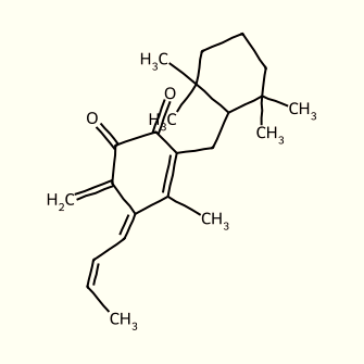 C=C1C(=O)C(=O)C(CC2C(C)(C)CCCC2(C)C)=C(C)/C1=C/C=C\C